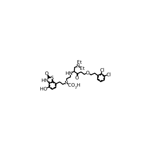 CCN(CC)CC(NCCN(CCc1ccc(O)c2[nH]c(=O)sc12)C(=O)O)C(=O)CCOCCc1cccc(Cl)c1Cl